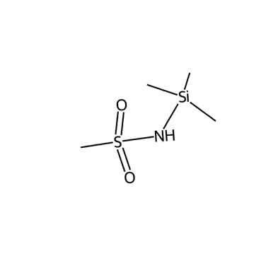 C[Si](C)(C)NS(C)(=O)=O